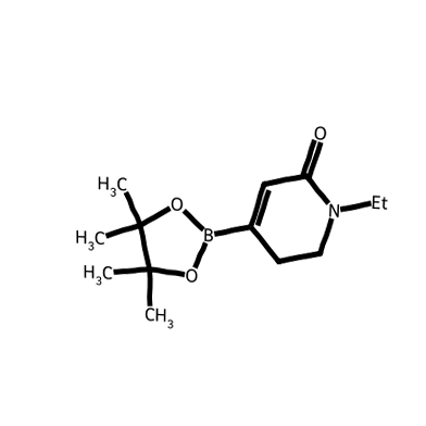 CCN1CCC(B2OC(C)(C)C(C)(C)O2)=CC1=O